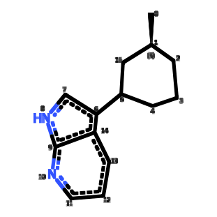 C[C@H]1CCCC(c2c[nH]c3ncccc23)C1